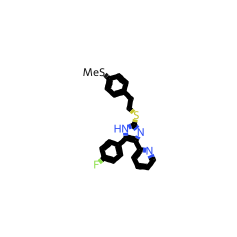 CSc1ccc(CCSc2nc(-c3ccccn3)c(-c3ccc(F)cc3)[nH]2)cc1